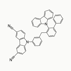 N#Cc1ccc2c(c1)c1cc(C#N)ccc1n2-c1cccc(Cc2cccc(-c3ccccc3)c2-n2c3ccccc3c3ccccc32)c1